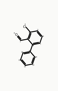 O=Cc1c(Cl)cccc1-c1ccccc1